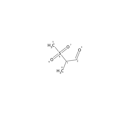 CC([C]=O)S(C)(=O)=O